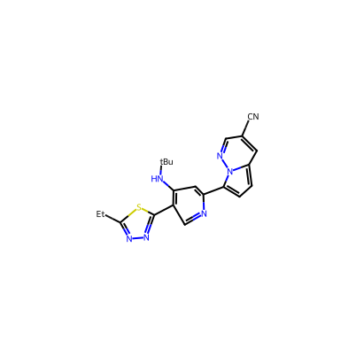 CCc1nnc(-c2cnc(-c3ccc4cc(C#N)cnn34)cc2NC(C)(C)C)s1